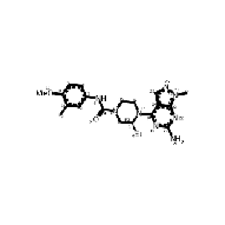 CC[C@H]1CN(C(=O)Nc2ccc(OC)c(C)c2)CCN1c1nc(N)nc2c1cnn2C